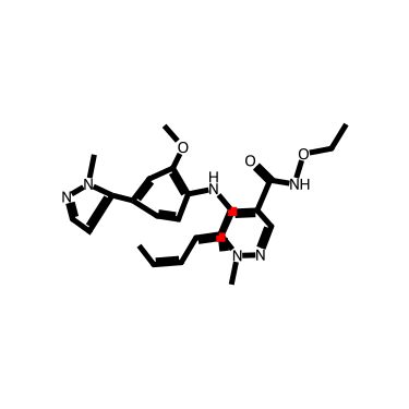 C=C/C(Nc1ccc(-c2ccnn2C)cc1OC)=C(\C=N/N(C)/C(C)=C\C=C/C)C(=O)NOCC